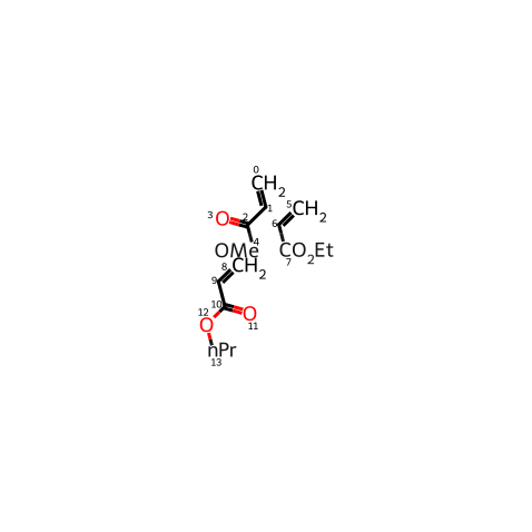 C=CC(=O)OC.C=CC(=O)OCC.C=CC(=O)OCCC